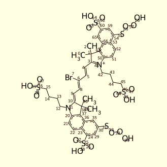 CC1(C)C(/C=C/C(Br)=C/C=C2/N(CCCCS(=O)(=O)O)c3ccc4c(S(=O)(=O)O)cc(SOOO)cc4c3C2(C)C)=[N+](CCCCS(=O)(=O)O)c2ccc3c(SOOO)cc(S(=O)(=O)O)cc3c21